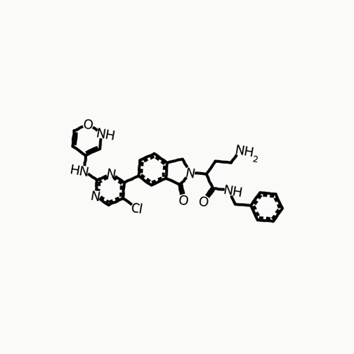 NCCC(C(=O)NCc1ccccc1)N1Cc2ccc(-c3nc(NC4=CNOC=C4)ncc3Cl)cc2C1=O